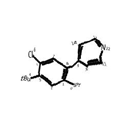 CC(C)c1cc(C(C)(C)C)c(Cl)cc1-c1ccncc1